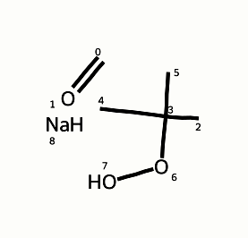 C=O.CC(C)(C)OO.[NaH]